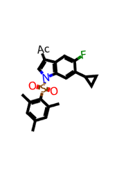 CC(=O)c1cn(S(=O)(=O)c2c(C)cc(C)cc2C)c2cc(C3CC3)c(F)cc12